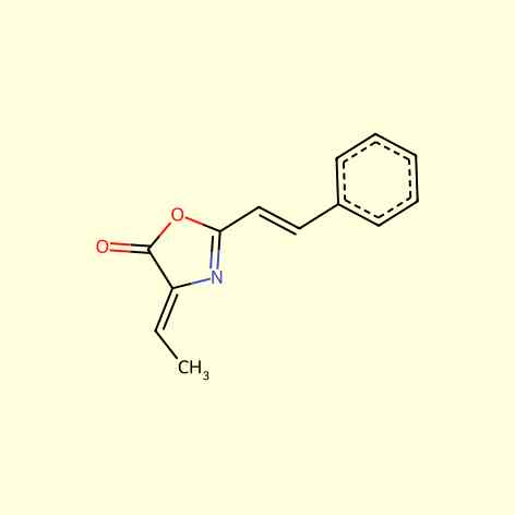 C/C=C1N=C(/C=C/c2ccccc2)OC\1=O